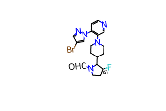 O=CN1CC[C@H](F)C1C1CCN(c2cnccc2-n2cc(Br)cn2)CC1